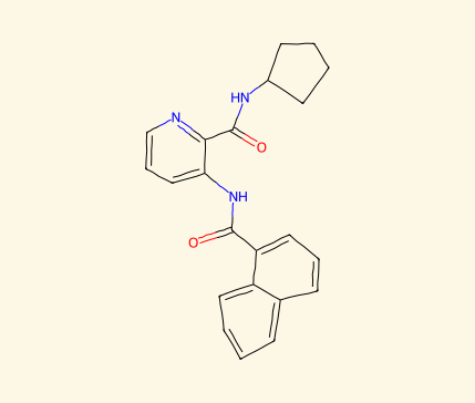 O=C(NC1CCCC1)c1ncccc1NC(=O)c1cccc2ccccc12